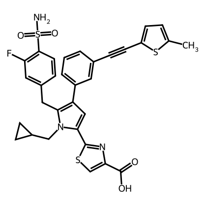 Cc1ccc(C#Cc2cccc(-c3cc(-c4nc(C(=O)O)cs4)n(CC4CC4)c3Cc3ccc(S(N)(=O)=O)c(F)c3)c2)s1